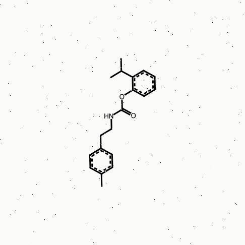 Cc1ccc(CCNC(=O)Oc2ccccc2C(C)C)cc1